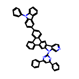 c1ccc(-c2cc(-c3ccccc3)nc(-n3c4cnccc4c4cc5c6ccc(-c7ccc8c(c7)c7ccccc7n8-c7ccccc7)cc6c6ccccc6c5cc43)n2)cc1